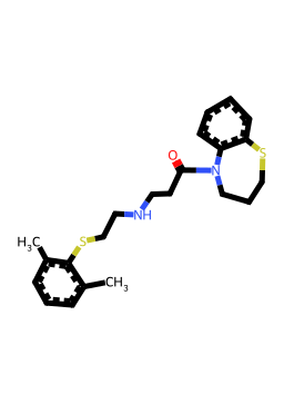 Cc1cccc(C)c1SCCNCCC(=O)N1CCCSc2ccccc21